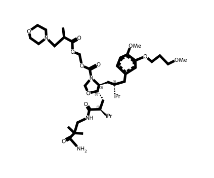 COCCCOc1cc(C[C@@H](C[C@H]2[C@H](C[C@H](C(=O)NCC(C)(C)C(N)=O)C(C)C)OCN2C(=O)OCOC(=O)C(C)CN2CCOCC2)C(C)C)ccc1OC